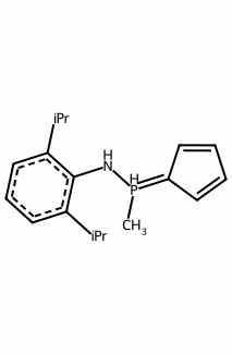 CC(C)c1cccc(C(C)C)c1N[PH](C)=C1C=CC=C1